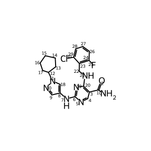 NC(=O)c1cnc(Nc2cnn(C3CCCCC3)c2)nc1NCc1c(F)cccc1Cl